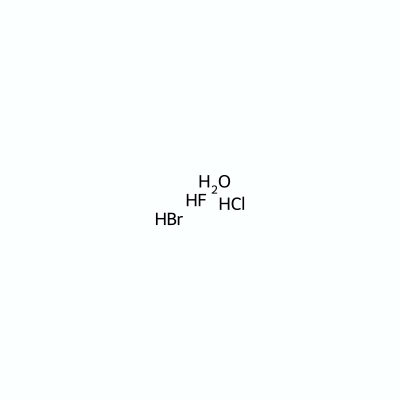 Br.Cl.F.O